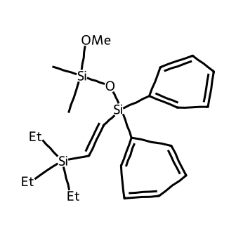 CC[Si](C=C[Si](O[Si](C)(C)OC)(c1ccccc1)c1ccccc1)(CC)CC